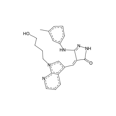 Cc1cccc(NC2=NNC(=O)/C2=C/c2cn(CCCCO)c3ncccc23)c1